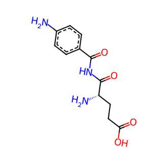 Nc1ccc(C(=O)NC(=O)[C@@H](N)CCC(=O)O)cc1